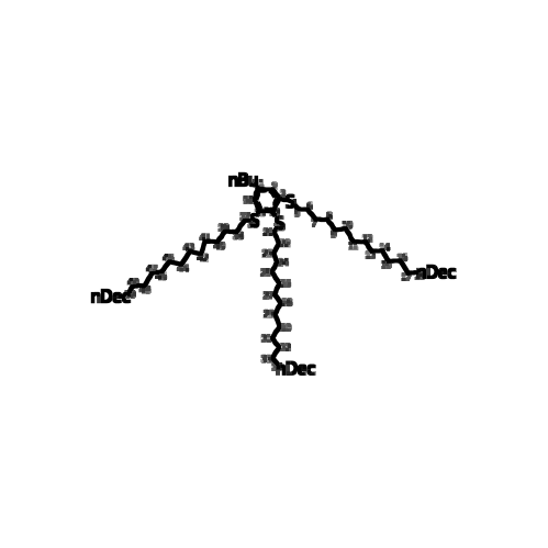 [CH2]CCCc1cc(SCCCCCCCCCCCCCCCCCCCCCCC)c(SCCCCCCCCCCCCCCCCCCCCCCC)c(SCCCCCCCCCCCCCCCCCCCCCCC)c1